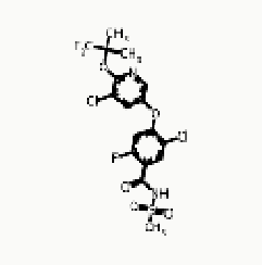 CC(C)(Oc1ncc(Oc2cc(F)c(C(=O)NS(C)(=O)=O)cc2Cl)cc1Cl)C(F)(F)F